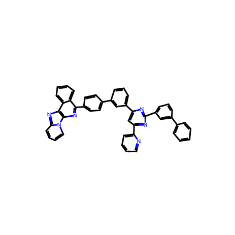 c1ccc(-c2cccc(-c3nc(-c4cccc(-c5ccc(-c6nc7c(nc8ccccn87)c7ccccc67)cc5)c4)cc(-c4ccccn4)n3)c2)cc1